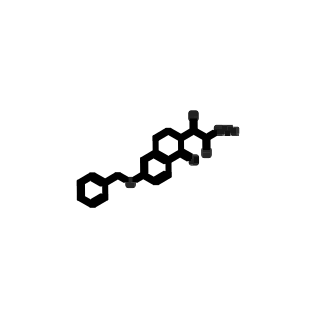 COC(=O)C(=O)C1CCc2cc(OCc3ccccc3)ccc2C1=O